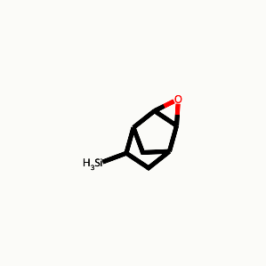 [SiH3]C1CC2CC1C1OC21